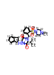 CCC(CC)[C@@H]1C(=O)N[C@H](C2Cc3ccccc3C2)C(=O)N1Cc1ccccc1S(=O)(=O)N1CCN(CC)CC1